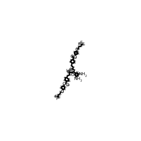 Nc1cc(N)cc(C(CC(=O)C=Cc2ccc(C(=O)Oc3ccc(OCCCC(F)(F)F)cc3)cc2)C(O)(O)C(=O)C=Cc2ccc(C(=O)Oc3ccc(OCCCC(F)(F)F)cc3)cc2)c1